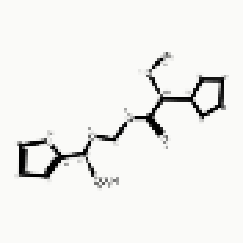 CC(C)O[C@H](C(=O)OCO[C@@H](C(=O)O)c1ccco1)C1CCCC1